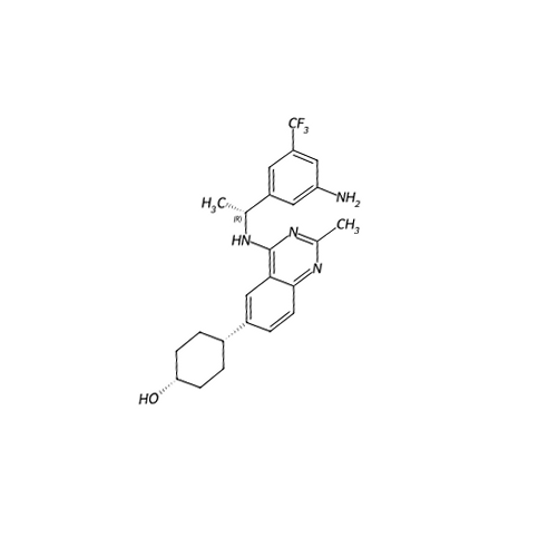 Cc1nc(N[C@H](C)c2cc(N)cc(C(F)(F)F)c2)c2cc([C@H]3CC[C@@H](O)CC3)ccc2n1